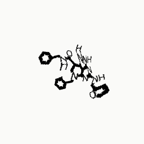 O=C(NCc1ccccc1)C1CN(Cc2ccccc2)c2nc(NCc3ccco3)nc3c2C1NN3